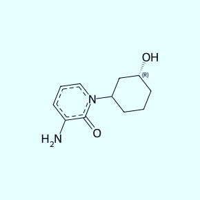 Nc1cccn(C2CCC[C@@H](O)C2)c1=O